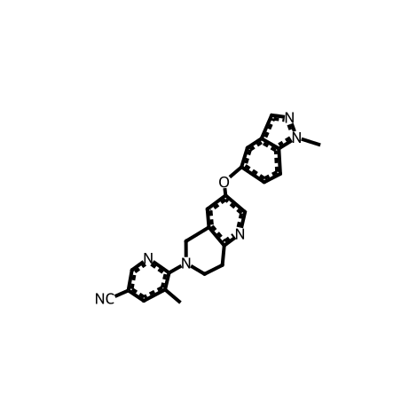 Cc1cc(C#N)cnc1N1CCc2ncc(Oc3ccc4c(cnn4C)c3)cc2C1